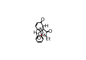 CCN1C(=O)C2[C@H]3C(=O)C=C[C@@H]([C@H]2C1=O)N3Cc1ccccc1